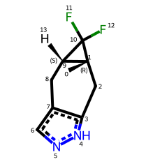 C[C@@]12Cc3[nH]ncc3C[C@@H]1C2(F)F